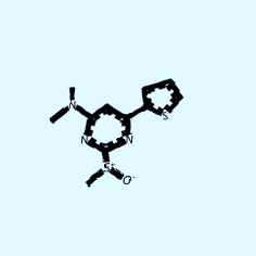 CN(C)c1cc(-c2cccs2)nc([S+](C)[O-])n1